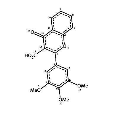 COc1cc(-c2oc3ccccc3c(=O)c2C(=O)O)cc(OC)c1OC